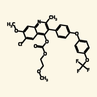 COCCOC(=O)Oc1c(-c2ccc(Oc3ccc(OC(F)(F)F)cc3)cc2)c(C)nc2cc(OC)c(Cl)cc12